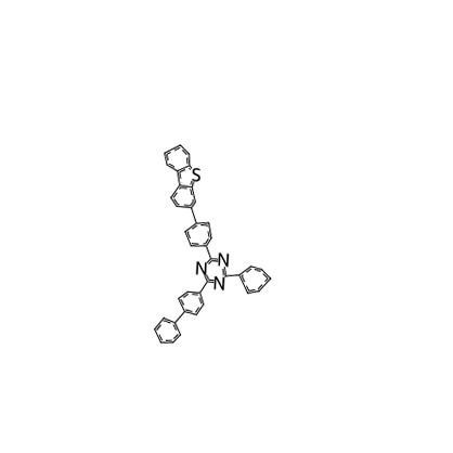 c1ccc(-c2ccc(-c3nc(-c4ccccc4)nc(-c4ccc(-c5ccc6c(c5)sc5ccccc56)cc4)n3)cc2)cc1